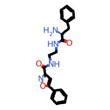 N[C@@H](Cc1ccccc1)C(=O)NCCNC(=O)c1cc(-c2ccccc2)on1